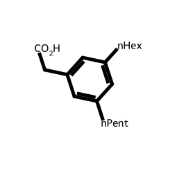 CCCCCCc1cc(CCCCC)cc(CC(=O)O)c1